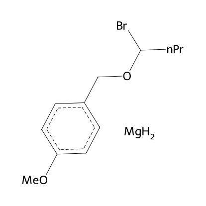 [CH2]CCC(Br)OCc1ccc(OC)cc1.[MgH2]